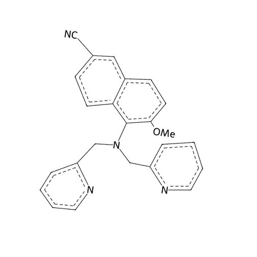 COc1ccc2cc(C#N)ccc2c1N(Cc1ccccn1)Cc1ccccn1